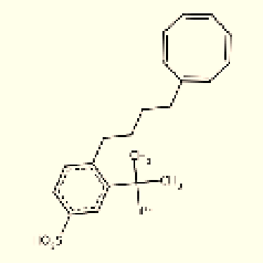 CC(C)C(C)(C)c1cc(S(=O)(=O)O)ccc1CCCCC1=C/C=C\C=C/C=C\1